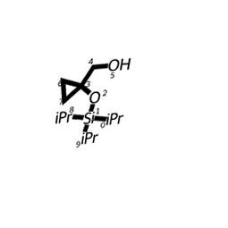 CC(C)[Si](OC1(CO)CC1)(C(C)C)C(C)C